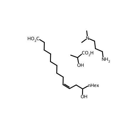 CC(O)C(=O)O.CCCCCCC(O)C/C=C\CCCCCCCC(=O)O.CN(C)CCCN